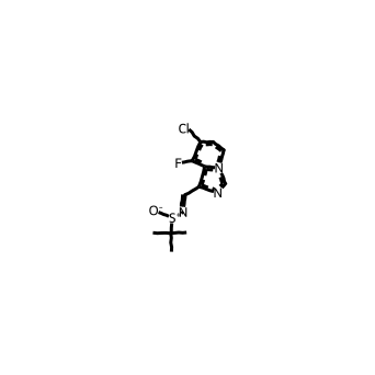 CC(C)(C)[S+]([O-])/N=C/c1ncn2ccc(Cl)c(F)c12